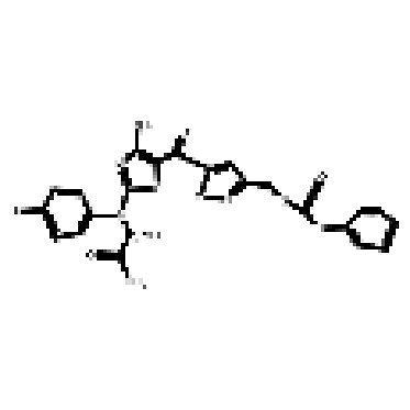 C[C@H](C(N)=O)N(c1ccc(F)cc1)c1nc(N)c(C(=O)c2cc(COC(=O)Nc3ccccc3)no2)s1